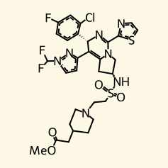 COC(=O)CC1CCN(CCS(=O)(=O)N[C@H]2CC3=C(c4ccn(C(F)F)n4)[C@H](c4ccc(F)cc4Cl)N=C(c4nccs4)N3C2)CC1